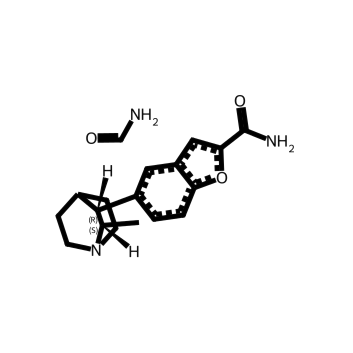 C[C@H]1[C@@H](c2ccc3oc(C(N)=O)cc3c2)C2CCN1CC2.NC=O